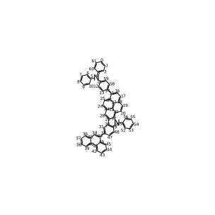 c1ccc(N(c2ccccc2)c2ccc(-c3ccc4ccc5c6c(ccc3c46)cc3c4cc(-c6cc7ccccc7c7ccccc67)ccc4n(-c4ccccc4)c35)cc2)cc1